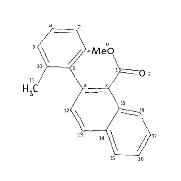 COC(=O)c1c(-c2ccccc2C)ccc2ccccc12